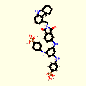 CC12CCCC=C1Nc1cccc(CN3C(=O)c4ccc(Nc5cc(Nc6ccc(S(=O)(=O)O)cc6)cc(Nc6ccc(S(=O)(=O)O)cc6)c5)cc4C3=O)c12